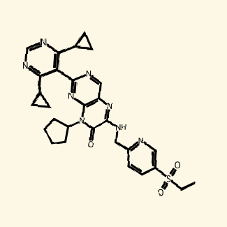 CCS(=O)(=O)c1ccc(CNc2nc3cnc(-c4c(C5CC5)ncnc4C4CC4)nc3n(C3CCCC3)c2=O)nc1